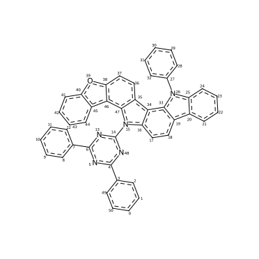 c1ccc(-c2nc(-c3ccccc3)nc(-n3c4ccc5c6ccccc6n(-c6ccccc6)c5c4c4ccc5oc6ccccc6c5c43)n2)cc1